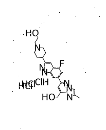 Cc1cn2nc(-c3cc(F)c4cc(C5CCN(CCO)CC5)nnc4c3)cc(CO)c2n1.Cl.Cl.Cl